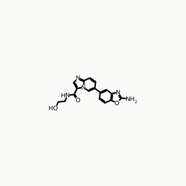 Nc1nc2cc(-c3ccc4ncc(C(=O)NCCO)n4c3)ccc2o1